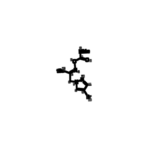 CNC(=O)ON=C(Cn1cc(Br)cn1)C(C)(C)C